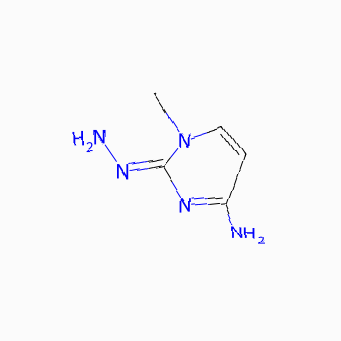 Cn1ccc(N)n/c1=N/N